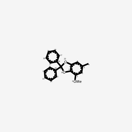 COc1cc(C)cc2c1OC(c1ccccc1)(c1ccccc1)O2